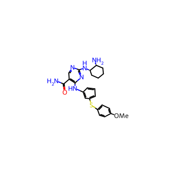 COc1ccc(Sc2cccc(Nc3nc(N[C@@H]4CCCC[C@@H]4N)ncc3C(N)=O)c2)cc1